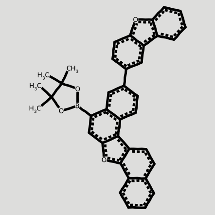 CC1(C)OB(c2cc3oc4c5ccccc5ccc4c3c3ccc(-c4ccc5oc6ccccc6c5c4)cc23)OC1(C)C